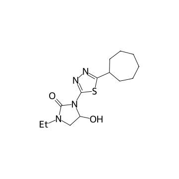 CCN1CC(O)N(c2nnc(C3CCCCCC3)s2)C1=O